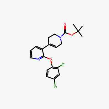 CC(C)(C)OC(=O)N1CC=C(c2cccnc2Oc2ccc(Cl)cc2Cl)CC1